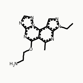 CCn1ncc2c1nc(C)c1c(OCCN)nc3ncnn3c12